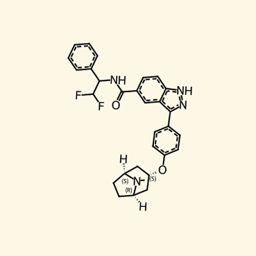 CN1[C@@H]2CC[C@H]1C[C@H](Oc1ccc(-c3n[nH]c4ccc(C(=O)NC(c5ccccc5)C(F)F)cc34)cc1)C2